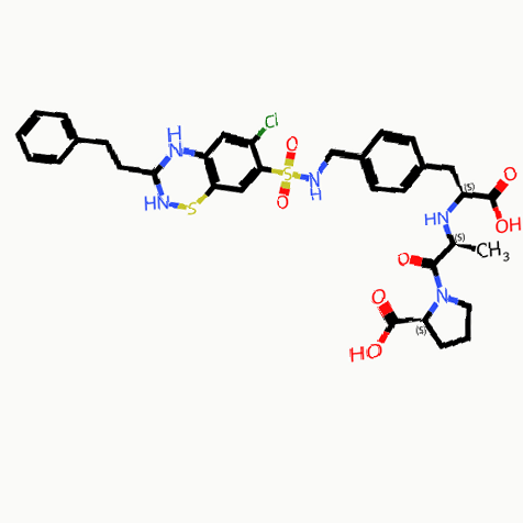 C[C@H](N[C@@H](Cc1ccc(CNS(=O)(=O)c2cc3c(cc2Cl)NC(CCc2ccccc2)NS3)cc1)C(=O)O)C(=O)N1CCC[C@H]1C(=O)O